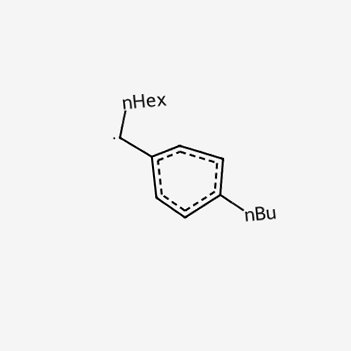 CCCCCC[CH]c1ccc(CCCC)cc1